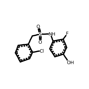 O=S(=O)(Cc1ccccc1Cl)Nc1ccc(O)cc1F